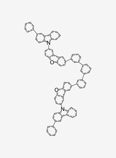 c1ccc(-c2ccc3c(c2)c2ccccc2n3-c2ccc3oc4ccc(-c5cccc(-c6cccc(-c7cccc(-c8ccc9oc%10ccc(-n%11c%12ccccc%12c%12cc(-c%13ccccc%13)ccc%12%11)cc%10c9c8)c7)c6)c5)cc4c3c2)cc1